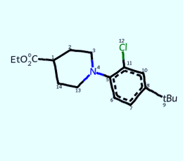 CCOC(=O)C1CCN(c2ccc(C(C)(C)C)cc2Cl)CC1